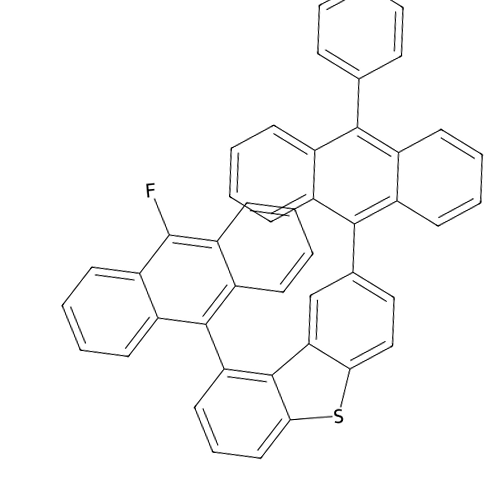 Fc1c2ccccc2c(-c2cccc3sc4ccc(-c5c6ccccc6c(-c6ccccc6)c6ccccc56)cc4c23)c2ccccc12